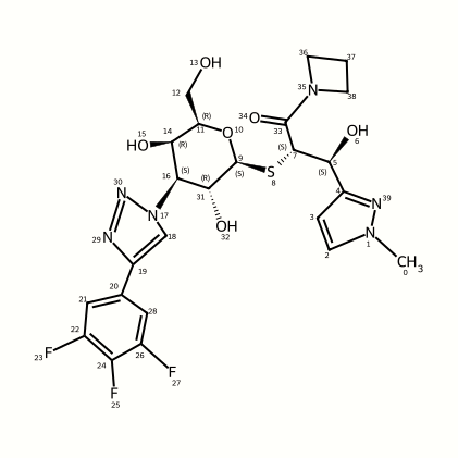 Cn1ccc([C@H](O)[C@H](S[C@@H]2O[C@H](CO)[C@H](O)[C@H](n3cc(-c4cc(F)c(F)c(F)c4)nn3)[C@H]2O)C(=O)N2CCC2)n1